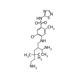 Cc1cc(NCC(CC(C)(C)CCN)C(C)N)c(Cl)cc1S(=O)(=O)Nc1ncns1